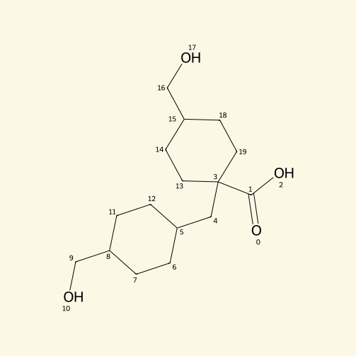 O=C(O)C1(CC2CCC(CO)CC2)CCC(CO)CC1